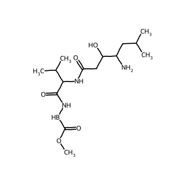 COC(=O)BNC(=O)C(NC(=O)CC(O)C(N)CC(C)C)C(C)C